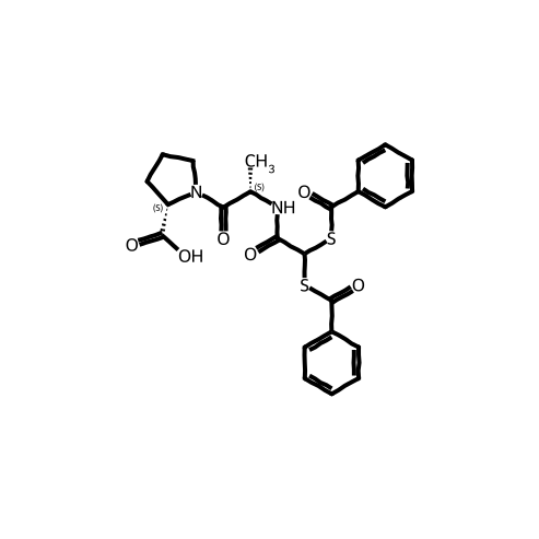 C[C@H](NC(=O)C(SC(=O)c1ccccc1)SC(=O)c1ccccc1)C(=O)N1CCC[C@H]1C(=O)O